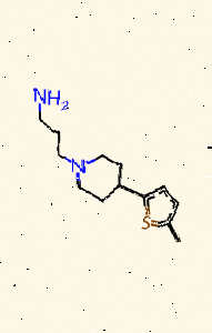 Cc1ccc(C2CCN(CCCN)CC2)s1